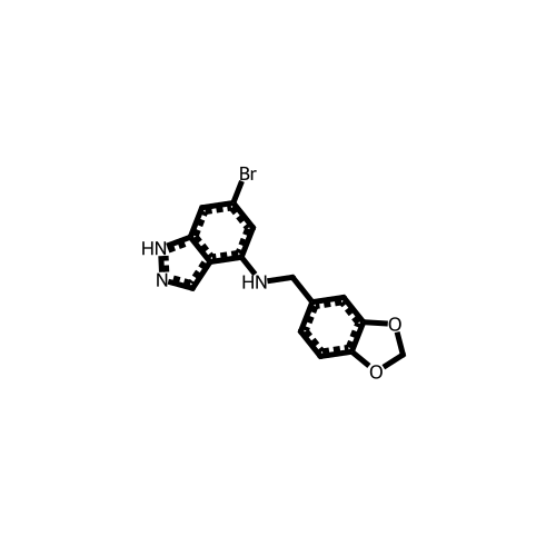 Brc1cc(NCc2ccc3c(c2)OCO3)c2cn[nH]c2c1